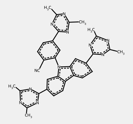 Cc1nc(C)nc(-c2ccc(C#N)c(-n3c4cc(-c5nc(C)nc(C)n5)ccc4c4ccc(-c5nc(C)nc(C)n5)cc43)c2)n1